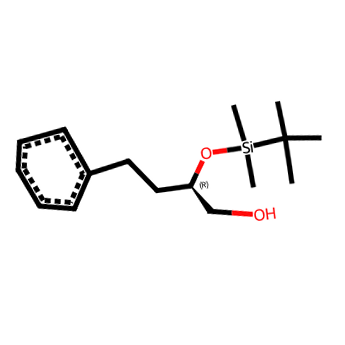 CC(C)(C)[Si](C)(C)O[C@@H](CO)CCc1ccccc1